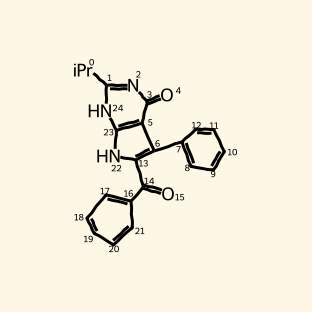 CC(C)c1nc(=O)c2c(-c3ccccc3)c(C(=O)c3ccccc3)[nH]c2[nH]1